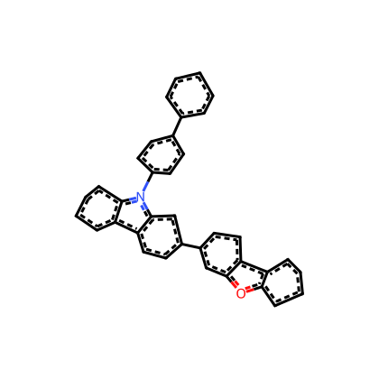 c1ccc(-c2ccc(-n3c4ccccc4c4ccc(-c5ccc6c(c5)oc5ccccc56)cc43)cc2)cc1